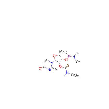 C=C1NC(=O)C=CN1[C@@H]1O[C@H](C)C(OP(OC)N(C(C)C)C(C)C)[C@@H]1OC(=S)N(C)OC